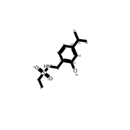 CCS(=O)(=O)NCc1ccc(C(C)C)cc1Cl